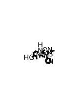 Cc1nc(OC(=O)Nc2ccc(O)c(C)n2)c(Nc2cccnc2)s1